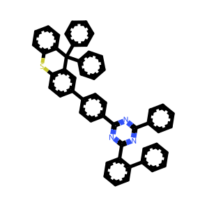 c1ccc(-c2nc(-c3ccc(-c4ccc5c(c4)C(c4ccccc4)(c4ccccc4)c4ccccc4S5)cc3)nc(-c3ccccc3-c3ccccc3)n2)cc1